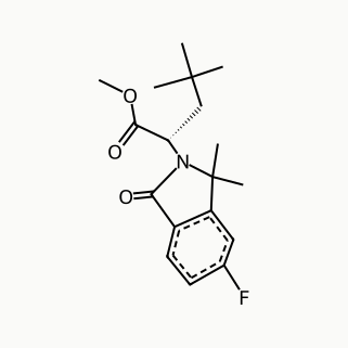 COC(=O)[C@H](CC(C)(C)C)N1C(=O)c2ccc(F)cc2C1(C)C